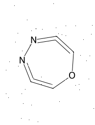 C1=COC=C=NN=1